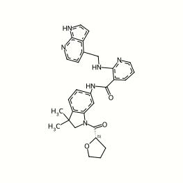 CC1(C)CN(C(=O)[C@@H]2CCCO2)c2cc(NC(=O)c3cccnc3NCc3ccnc4[nH]ccc34)ccc21